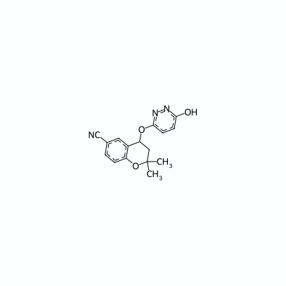 CC1(C)CC(Oc2ccc(O)nn2)c2cc(C#N)ccc2O1